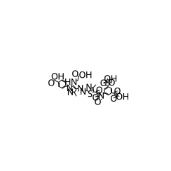 Cc1nc(N=Nc2c(C)nn(-c3ccc(C(=O)O)cc3)c2NCC(=O)O)sc1S(=O)(=O)N(C=O)c1cc(S(=O)(=O)O)cc(S(=O)(=O)O)c1